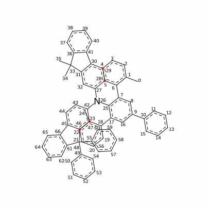 Cc1ccccc1-c1cc(-c2ccccc2)cc(-c2ccccc2C)c1N(c1ccc2c(c1)C(C)(C)c1ccccc1-2)c1ccc2c(c1)C(c1ccccc1)(c1ccccc1)c1ccccc1-2